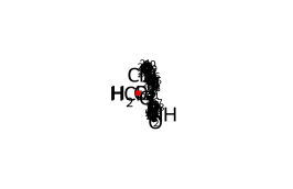 Cl.O.O=C1CCc2cc(C(=O)CCCN3CCN(c4ccccc4Cl)CC3)ccc2N1